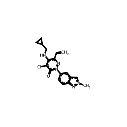 C=Cc1nn(-c2ccc3nn(C)cc3c2)c(=O)c(Cl)c1NCC1CC1